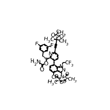 CC(C)(C#Cc1ccc(-c2ccc(Cl)c3c(N(S(C)(=O)=O)S(C)(=O)=O)nn(CC(F)(F)F)c23)c([C@H](Cc2cc(F)cc(F)c2)OC(N)=O)n1)S(C)(=O)=O